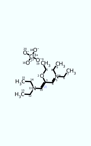 CCO/C(C=[N+](CC)CC)=C\N(CC)CC.[O-][Cl+3]([O-])([O-])[O-]